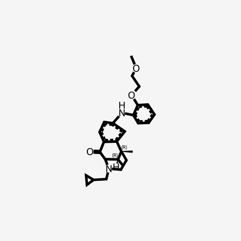 COCCOc1ccccc1Nc1ccc2c(c1)[C@]1(C)CCN(CC3CC3)C(C2=O)[C@@H]1C